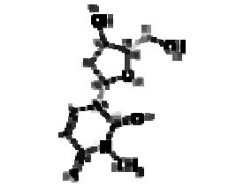 Cn1c(=S)ccn([C@@H]2CC(O)[C@H](CO)O2)c1=O